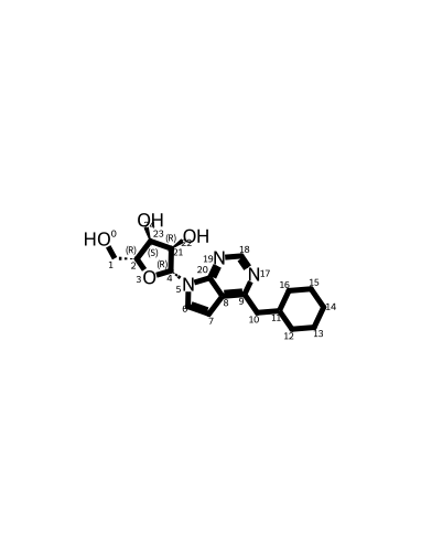 OC[C@H]1O[C@@H](n2ccc3c(CC4CCCCC4)ncnc32)[C@H](O)[C@@H]1O